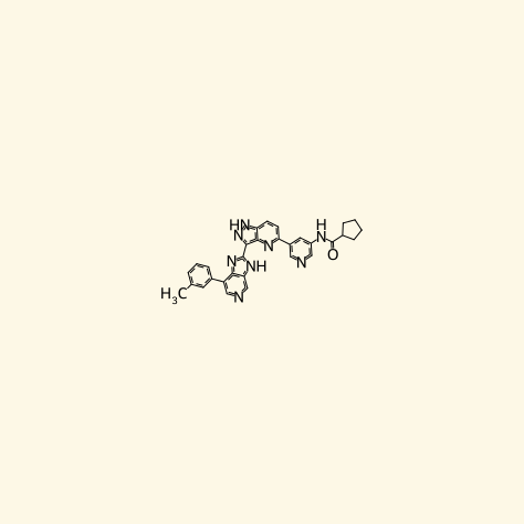 Cc1cccc(-c2cncc3[nH]c(-c4n[nH]c5ccc(-c6cncc(NC(=O)C7CCCC7)c6)nc45)nc23)c1